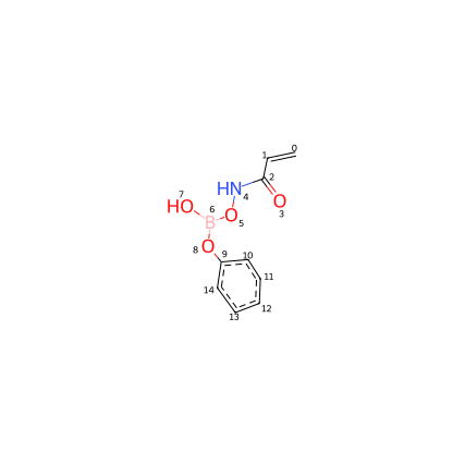 C=CC(=O)NOB(O)Oc1ccccc1